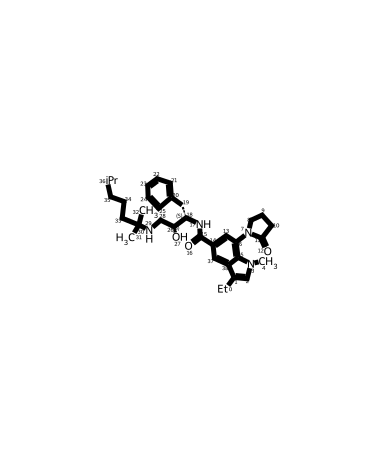 CCc1cn(C)c2c(N3CCCC3=O)cc(C(=O)N[C@@H](Cc3ccccc3)[C@@H](O)CNC(C)(C)CCCC(C)C)cc12